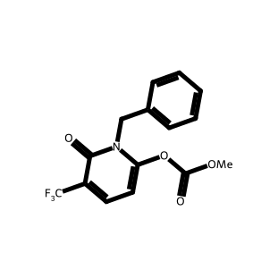 COC(=O)Oc1ccc(C(F)(F)F)c(=O)n1Cc1ccccc1